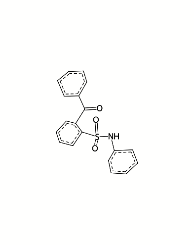 O=C(c1ccccc1)c1ccccc1S(=O)(=O)Nc1ccccc1